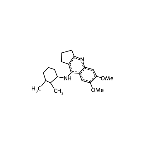 COc1cc2nc3c(c(NC4CCCC(C)C4C)c2cc1OC)CCC3